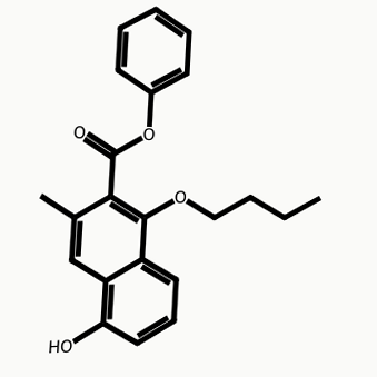 CCCCOc1c(C(=O)Oc2ccccc2)c(C)cc2c(O)cccc12